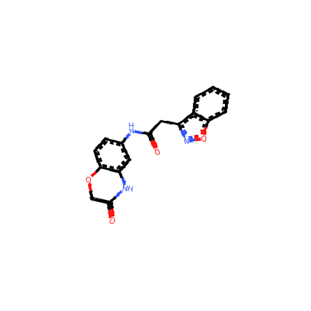 O=C(Cc1noc2ccccc12)Nc1ccc2c(c1)NC(=O)CO2